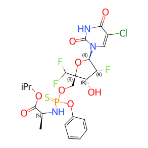 CC(C)OC(=O)[C@H](C)NP(=S)(OC[C@@]1(C(F)F)O[C@@H](n2cc(Cl)c(=O)[nH]c2=O)[C@H](F)[C@@H]1O)Oc1ccccc1